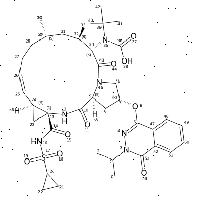 CC(C)n1nc(O[C@@H]2C[C@H]3C(=O)N[C@]4(C(=O)NS(=O)(=O)C5CC5)C[C@H]4C=CCC[C@H](C)C[C@@H](C)[C@H](N(C(=O)O)C(C)(C)C)C(=O)N3C2)c2ccccc2c1=O